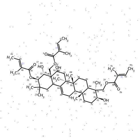 C/C=C(\C)C(=O)OC[C@@]12C(CC(C)(C)[C@@H](OC(=O)/C(C)=C/C)[C@@H]1O)C1=CCC3[C@@]4(C)CC[C@H](O)[C@](C)(COC(=O)/C(C)=C/C)C4CC[C@@]3(C)[C@]1(C)C[C@H]2O